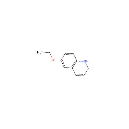 CCOc1ccc2c(c1)C=CCN2